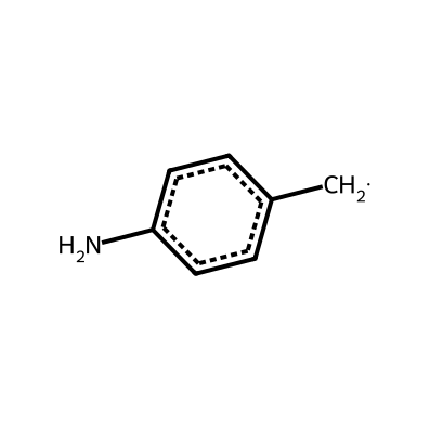 [CH2]c1ccc(N)cc1